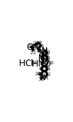 COc1cc2c(cc1Nc1ncc3cnn(CC4CCCN4C(C)=O)c3n1)[C@H](C)N(C)CC2.Cl